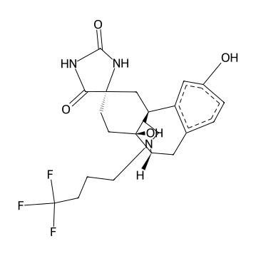 O=C1NC(=O)[C@@]2(CC[C@@]3(O)[C@H]4Cc5ccc(O)cc5[C@@]3(CCN4CCCC(F)(F)F)C2)N1